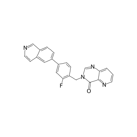 O=c1c2ncccc2ncn1Cc1ccc(-c2ccc3cnccc3c2)cc1F